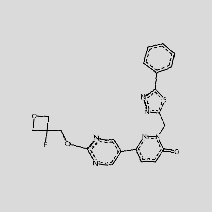 O=c1ccc(-c2cnc(OCC3(F)COC3)nc2)nn1Cc1nnc(-c2ccccc2)s1